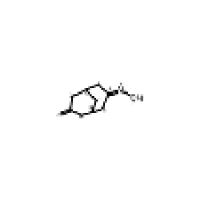 C=C1CC2CC(=NO)CC(C1)C2